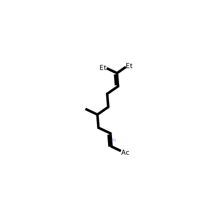 CCC(=CCCC(C)C/C=C/C(C)=O)CC